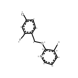 Fc1cc(Cl)ccc1COc1ncccc1I